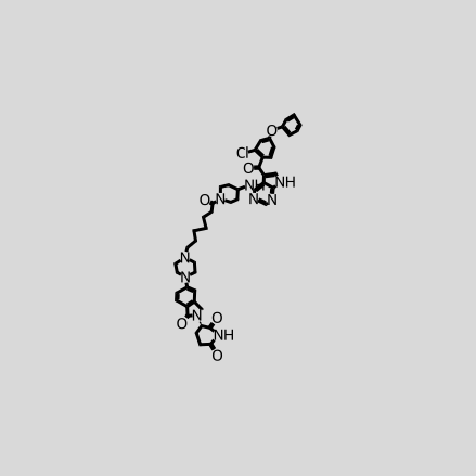 O=C1CC[C@H](N2Cc3cc(N4CCN(CCCCCCC(=O)N5CCC(Nc6ncnc7[nH]cc(C(=O)c8ccc(Oc9ccccc9)cc8Cl)c67)CC5)CC4)ccc3C2=O)C(=O)N1